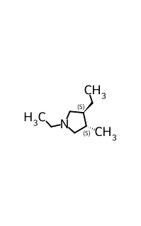 CC[C@@H]1CN(CC)C[C@H]1C